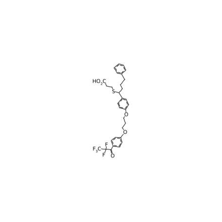 O=C(O)CCSC(CCCc1ccccc1)c1ccc(OCCCOc2ccc(C(=O)C(F)(F)C(F)(F)F)cc2)cc1